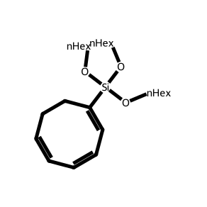 CCCCCCO[Si](OCCCCCC)(OCCCCCC)C1=CC=CC=CCC1